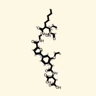 CCCCCC(C(=O)NCNC(=O)c1ccc(-c2ccc(CC(=O)NC(CC(=O)O)C(=O)O)c(OCC)c2)o1)[C@@H](CC)N(O)C=O